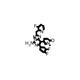 Cn1cc(-c2c(-c3ccc(F)c(F)c3)nc(N)n3nc(Cc4ncccc4F)nc23)ccc1=O